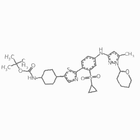 Cc1cc(Nc2ccc(-c3ncc(C4CCC(NC(=O)OC(C)(C)C)CC4)s3)c(S(=O)(=O)C3CC3)c2)nn1C1CCCCO1